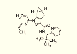 C=C/C(=N\C=C/C)n1nc(C(=O)N[C@H](c2ccccn2)C(C)(C)C)c2c1[C@H]1C[C@H]1C2